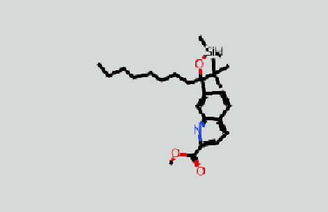 CCCCCCCCC(O[SiH](C)C)(c1ccc2ccc(C(=O)OC)nc2c1)C(C)(C)C